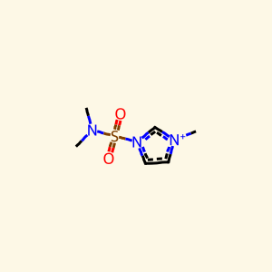 CN(C)S(=O)(=O)n1cc[n+](C)c1